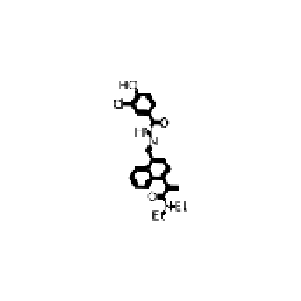 C=C(C(=O)N(CC)CC)c1ccc(C=NNC(=O)c2ccc(O)c(Cl)c2)c2ccccc12